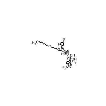 CCCCCCCCCCCCCCCOC[C@H](COP(=O)(O)OC[C@H]1O[C@@](C)(c2ccc3c(N)ncnn23)[C@H](O)[C@@H]1O)OCc1ccc(C#N)cc1F